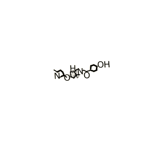 Cc1ccc(O[C@H]2C[C@@H]3CN(CC(=O)c4ccc(O)cc4)C[C@]3(C)C2)cn1